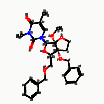 CO[C@]12OCC[C@@]1(OCc1ccccc1)[C@@H](COCc1ccccc1)O[C@H]2n1cc(C)c(=O)n(C)c1=O